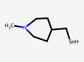 CN1CCC([CH2][SnH])CC1